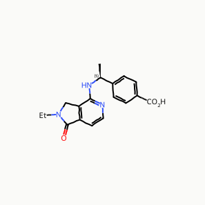 CCN1Cc2c(ccnc2N[C@@H](C)c2ccc(C(=O)O)cc2)C1=O